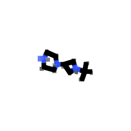 CC(C)(C)N1CC(N2CCNCC2)C1